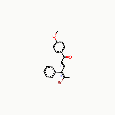 COc1ccc(C(=O)/C=C/C(=C(\C)Br)c2ccccc2)cc1